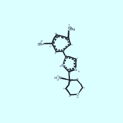 CC(C)(C)c1cc(-c2csc(C3(N)CCOCC3)n2)cc(C(C)(C)C)c1